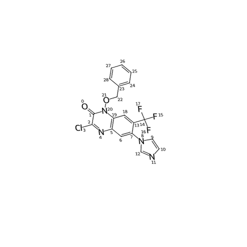 O=c1c(Cl)nc2cc(-n3ccnc3)c(C(F)(F)F)cc2n1OCc1ccccc1